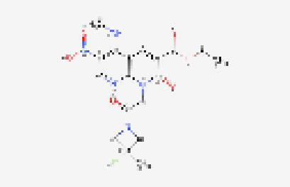 CCOC(=O)c1cc2c(NC)c([N+](=O)[O-])cnc2n(CC(=O)N2CC(C)(F)C2)c1=O